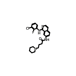 O=C(CCCN1CCCCC1)Nc1ccc2ccnc(Nc3cccc(Cl)c3F)c2c1